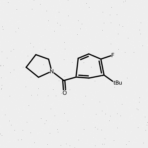 CC(C)(C)c1cc(C(=O)N2CCCC2)ccc1F